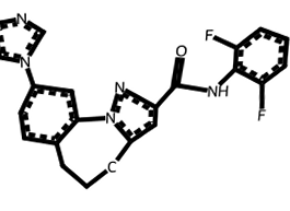 O=C(Nc1c(F)cccc1F)c1cc2n(n1)-c1cc(-n3cnnc3)ccc1CCC2